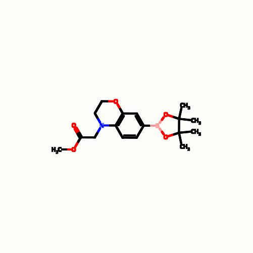 COC(=O)CN1CCOc2cc(B3OC(C)(C)C(C)(C)O3)ccc21